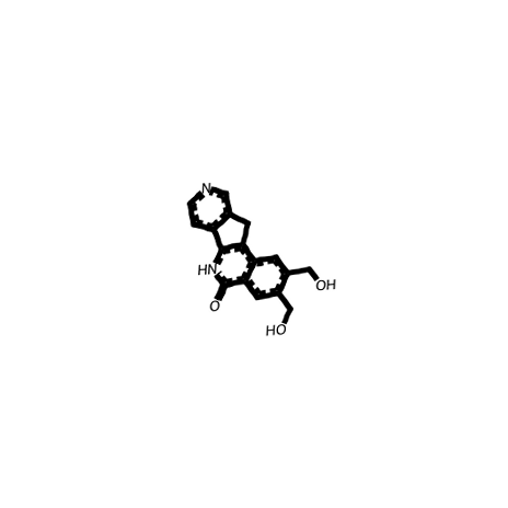 O=c1[nH]c2c(c3cc(CO)c(CO)cc13)Cc1cnccc1-2